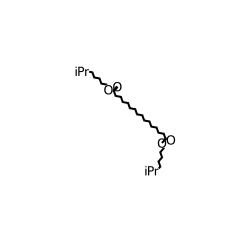 CC(C)CCCCCOC(=O)CCCCCCCCCCCCCCC(=O)OCCCCCC(C)C